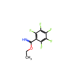 CCOC(=N)c1c(F)c(F)c(F)c(F)c1F